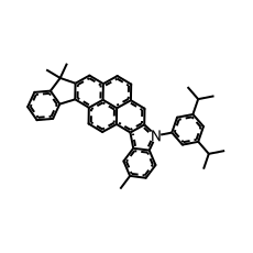 Cc1ccc2c(c1)c1c3ccc4c5c(cc6ccc(cc1n2-c1cc(C(C)C)cc(C(C)C)c1)c3c64)C(C)(C)c1ccccc1-5